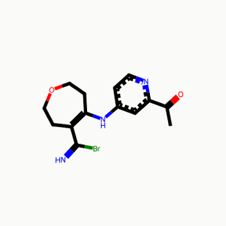 CC(=O)c1cc(NC2=C(C(=N)Br)CCOCC2)ccn1